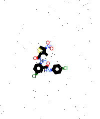 Cc1c([N+](=O)[O-])csc1C(=O)Nc1ccc(Cl)cc1C(=O)Nc1ccc(Cl)cc1